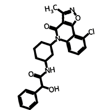 Cc1noc2c1c(=O)n(C1CCCC(NC(=O)C(O)c3ccccc3)C1)c1cccc(Cl)c21